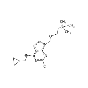 C[Si](C)(C)CCOCn1ccc2c(NCC3CC3)nc(Cl)nc21